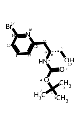 CC(C)(C)OC(=O)N[C@@H](CO)Cc1cccc(Br)n1